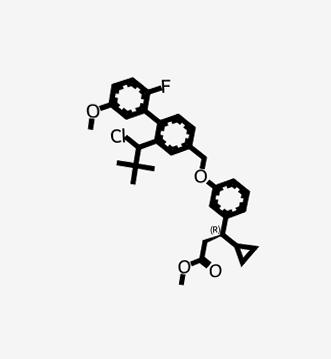 COC(=O)C[C@@H](c1cccc(OCc2ccc(-c3cc(OC)ccc3F)c(C(Cl)C(C)(C)C)c2)c1)C1CC1